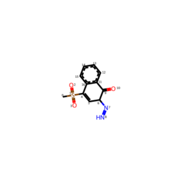 CS(=O)(=O)C1=CC(N=N)C(=O)c2ccccc21